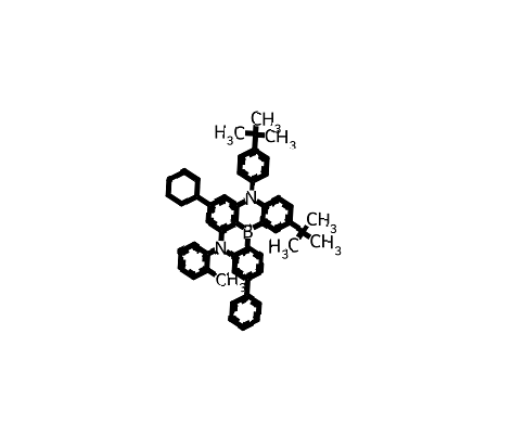 Cc1ccccc1N1c2cc(-c3ccccc3)ccc2B2c3cc(C(C)(C)C)ccc3N(c3ccc(C(C)(C)C)cc3)c3cc(C4CCCCC4)cc1c32